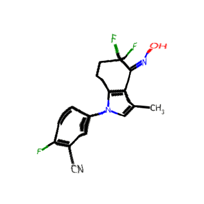 Cc1cn(-c2ccc(F)c(C#N)c2)c2c1/C(=N/O)C(F)(F)CC2